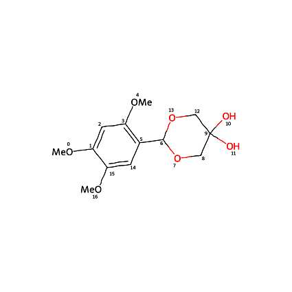 COc1cc(OC)c(C2OCC(O)(O)CO2)cc1OC